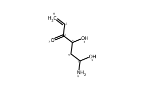 C=CC(=O)C(O)CC(N)O